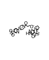 CS(=O)(=O)c1ccc(N2CCN(C(=O)CCOC[C@@H]3CCCN3c3cn[nH]c(=O)c3C(F)(F)F)CC2)nc1